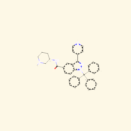 O=C(N[C@@H]1CCCN(C(=O)O)C1)c1ccc2c(c1)c(-c1ccncc1)nn2C(c1ccccc1)(c1ccccc1)c1ccccc1